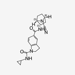 N#CN1[C@@H]2CC[C@H]1[C@@H](NC(=O)c1ccc3c(c1)CCN3C(=O)NC1CC1)C2